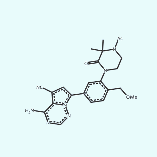 COCc1ccc(-c2cc(C#N)c3c(N)ncnn23)cc1N1CCN(C(C)=O)C(C)(C)C1=O